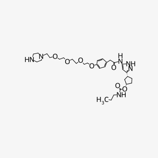 CCCNC(=O)O[C@H]1CC[C@@H](c2cc(NC(=O)Cc3ccc(OCCOCCOCCOCCN4CCNCC4)cc3)[nH]n2)C1